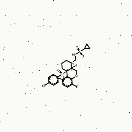 O=S(=O)(NC[C@@H]1CCC[C@@]2(S(=O)(=O)c3ccc(Cl)cc3)c3c(F)ccc(F)c3OC[C@@H]12)C1CC1